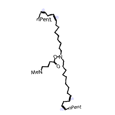 CCCCC/C=C\C/C=C\CCCCCCCCN(CCCCCCCC/C=C\C/C=C\CCCCC)OC(=O)CCCNC